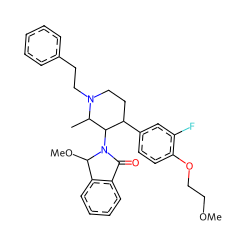 COCCOc1ccc(C2CCN(CCc3ccccc3)C(C)C2N2C(=O)c3ccccc3C2OC)cc1F